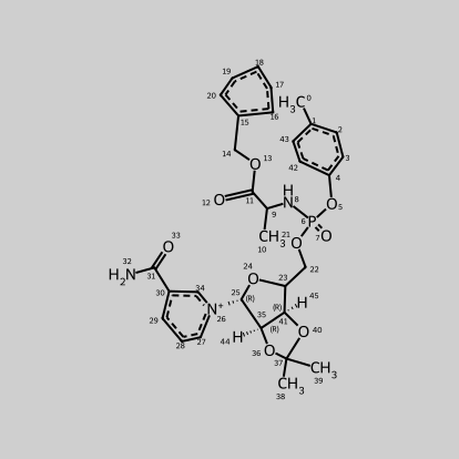 Cc1ccc(OP(=O)(NC(C)C(=O)OCc2ccccc2)OCC2O[C@@H]([n+]3cccc(C(N)=O)c3)[C@@H]3OC(C)(C)O[C@H]23)cc1